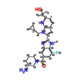 Cn1c(-c2cc3ccc(C(C)(C)O)nc3n2CC2CC2)nc2cc(C(=O)N3CCC[C@@H](N)C3)cc(F)c21